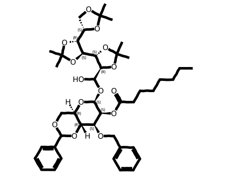 CCCCCCCC(=O)O[C@@H]1[C@H](OC(O)[C@@H]2OC(C)(C)O[C@H]2[C@H]2OC(C)(C)O[C@@H]2[C@@H]2COC(C)(C)O2)O[C@@H]2COC(c3ccccc3)O[C@H]2[C@@H]1OCc1ccccc1